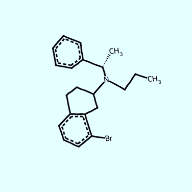 CCCN(C1CCc2cccc(Br)c2C1)[C@@H](C)c1ccccc1